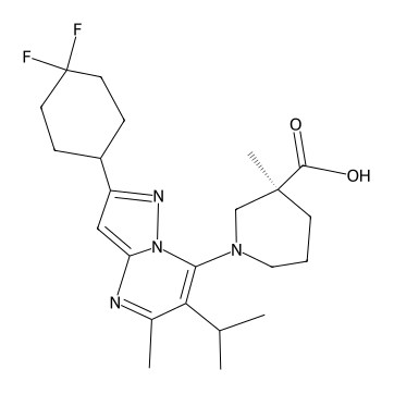 Cc1nc2cc(C3CCC(F)(F)CC3)nn2c(N2CCC[C@](C)(C(=O)O)C2)c1C(C)C